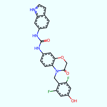 O=C(Nc1ccc2c(c1)OCC(=O)N2Cc1c(F)cc(O)cc1F)Nc1ccc2cc[nH]c2c1